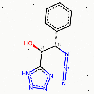 [N-]=[N+]=N[C@@H](c1ccccc1)[C@H](O)c1nnn[nH]1